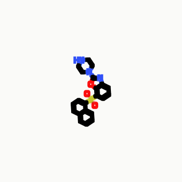 O=S(=O)(c1cccc2ccccc12)c1cccc2nc(N3CCNCC3)oc12